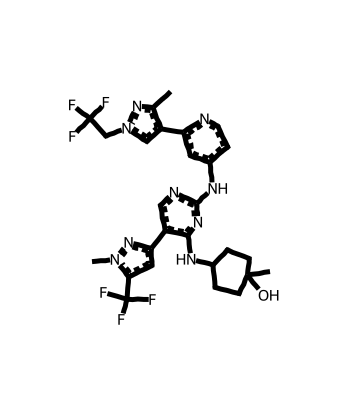 Cc1nn(CC(F)(F)F)cc1-c1cc(Nc2ncc(-c3cc(C(F)(F)F)n(C)n3)c(NC3CCC(C)(O)CC3)n2)ccn1